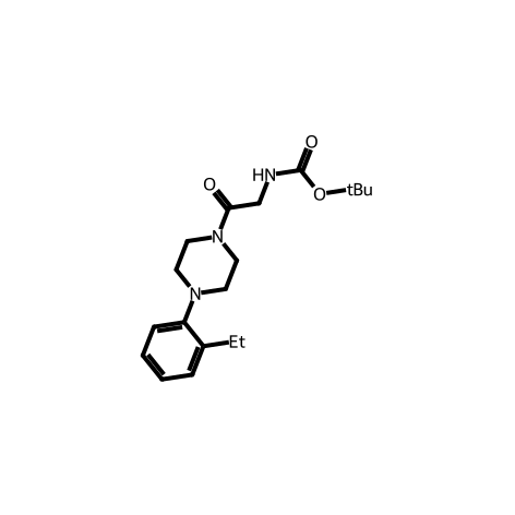 CCc1ccccc1N1CCN(C(=O)CNC(=O)OC(C)(C)C)CC1